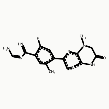 Cc1cc(C(=N)/N=C\N)c(F)cc1-c1cnc2c(n1)N(C)CC(=O)N2